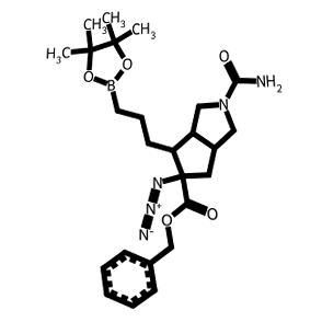 CC1(C)OB(CCCC2C3CN(C(N)=O)CC3CC2(N=[N+]=[N-])C(=O)OCc2ccccc2)OC1(C)C